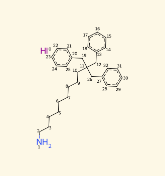 I.NCCCCCCCCCC(Cc1ccccc1)(Cc1ccccc1)Cc1ccccc1